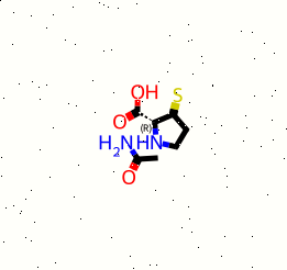 CC(N)=O.O=C(O)[C@H]1NCCC1=S